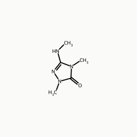 CNc1nn(C)c(=O)n1C